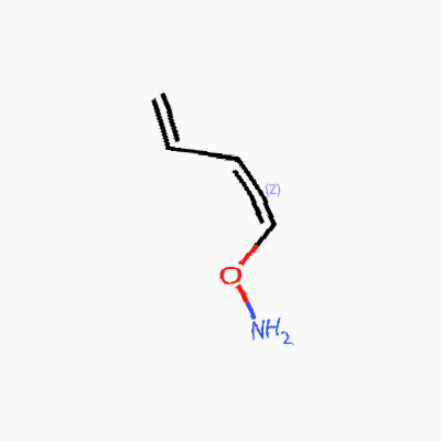 C=C/C=C\ON